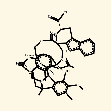 COc1c(C)cc2c(c1O)C1[C@@H]3[C@@H]4SC[C@]5(N[C@H](C(=O)O)Cc6c5[nH]c5ccccc65)C(=O)OC[C@@H](c5c6c(c(C)c(OC(C)=O)c54)OCO6)N3[C@]3(C#N)CN1C2(C)C3